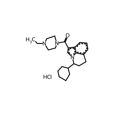 CCN1CCN(C(=O)c2cn3c4c(cccc24)CCC3C2CCCCC2)CC1.Cl